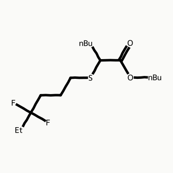 CCCCOC(=O)C(CCCC)SCCCC(F)(F)CC